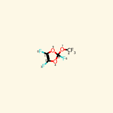 FC1=C(F)OC(F)(OC(F)(F)F)O1